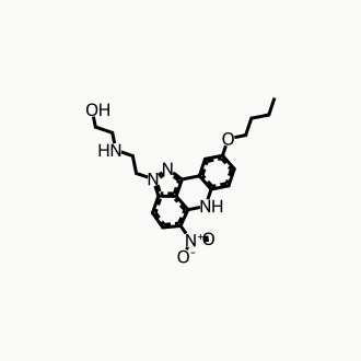 CCCCOc1ccc2c(c1)-c1nn(CCNCCO)c3ccc([N+](=O)[O-])c(c13)N2